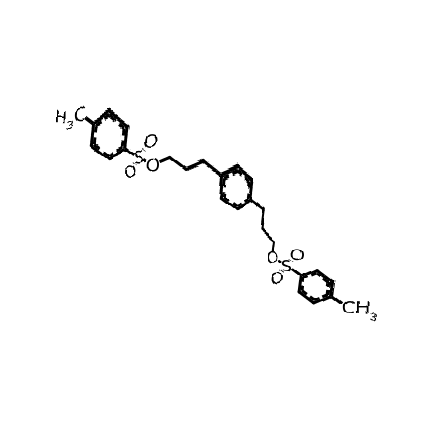 Cc1ccc(S(=O)(=O)OCCCc2ccc(CCCOS(=O)(=O)c3ccc(C)cc3)cc2)cc1